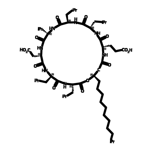 CC(C)CCCCCCCCC[C@@H]1CC(=O)N[C@@H](CCC(=O)O)C(=O)N[C@@H](CC(C)C)C(=O)N[C@H](CC(C)C)C(=O)N[C@@H](C(C)C)C(=O)N[C@@H](CC(=O)O)C(=O)N[C@H](CC(C)C)C(=O)N[C@@H](CC(C)C)C(=O)O1